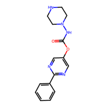 O=C(NN1CCNCC1)Oc1cnc(-c2ccccc2)nc1